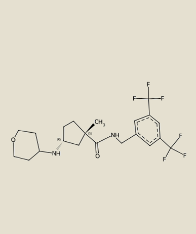 C[C@]1(C(=O)NCc2cc(C(F)(F)F)cc(C(F)(F)F)c2)CC[C@@H](NC2CCOCC2)C1